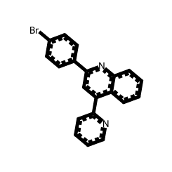 Brc1ccc(-c2cc(-c3ccccn3)c3ccccc3n2)cc1